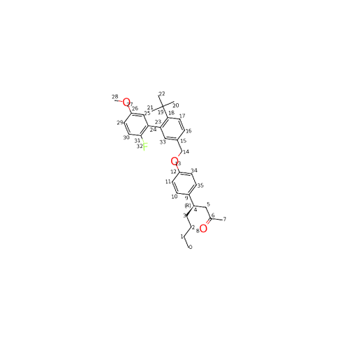 CCCC[C@H](CC(C)=O)c1ccc(OCc2ccc(C(C)(C)C)c(-c3cc(OC)ccc3F)c2)cc1